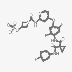 CCS(=O)(=O)OC1CN(C(=O)Nc2cc(Oc3cc(F)c(NC(=O)C4(C(=O)Nc5ccc(F)cc5)CC4)cc3F)ccn2)C1